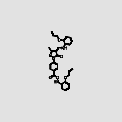 C=CCOc1ccccc1NC=C1C(=O)N(c2ccc(C(=O)ONc3ccccc3OCC=C)cc2)N=C1C